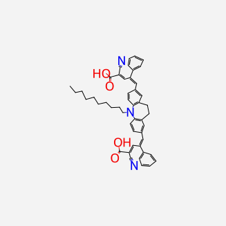 CCCCCCCCCCN1c2ccc(/C=C(\C=C(/C#N)C(=O)O)c3ccccc3)cc2CCc2cc(/C=C(\C=C(/C#N)C(=O)O)c3ccccc3)ccc21